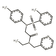 CCN(Cc1cccnc1)C(=O)CN(c1ccc(C)cc1)S(=O)(=O)c1ccccc1C